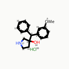 COc1cccc(C(c2ccccc2)C2(O)CCNC2)c1.Cl